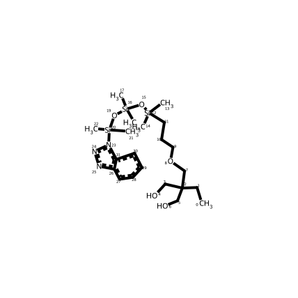 CCC(CO)(CO)COCCC[Si](C)(C)O[Si](C)(C)O[Si](C)(C)n1nnc2ccccc21